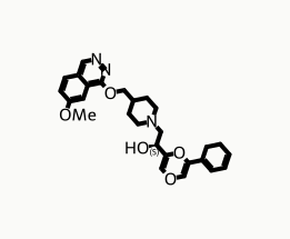 COc1ccc2cnnc(OCC3CCN(C[C@H](O)C4=COC=C(C5=CC=CCC5)O4)CC3)c2c1